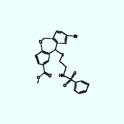 COC(=O)c1ccc2c(c1)C(SCCNS(=O)(=O)c1ccccc1)c1cc(Br)ccc1CO2